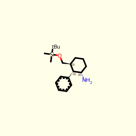 CC(C)(C)[Si](C)(C)OC[C@H]1CCC[C@H](N)[C@@H]1c1ccccc1